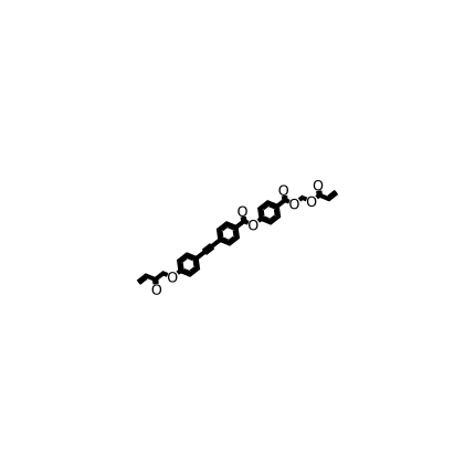 C=CC(=O)COc1ccc(C#Cc2ccc(C(=O)Oc3ccc(C(=O)OCOC(=O)C=C)cc3)cc2)cc1